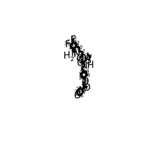 NC(CC(=O)N1CCSC1C(=O)NCc1ccc(OCC(=O)N2CCOCC2)cc1)Cc1cc(F)c(F)cc1F